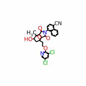 CC12OC(CCOc3ncc(Cl)cc3Cl)(CC1O)C1C(=O)N(c3ccc(C#N)c4ccccc34)C(=O)C12